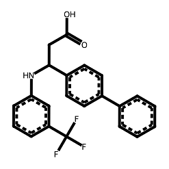 O=C(O)CC(Nc1cccc(C(F)(F)F)c1)c1ccc(-c2ccccc2)cc1